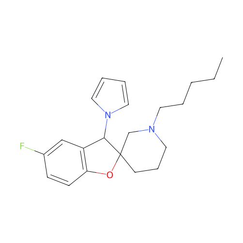 CCCCCN1CCCC2(C1)Oc1ccc(F)cc1C2n1cccc1